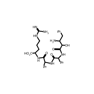 CC(C)CC(N)C(O)C(=O)NC(C(=O)NC(C(=O)NC(CCCNC(=N)N)C(=O)O)C(C)C)C(C)C